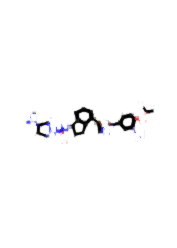 CNc1cc(-c2ncc(-c3cccc4c3CC[C@@H]4NC(=O)N3CC[C@H](N(C)C)C3)s2)ccc1OC(C)C